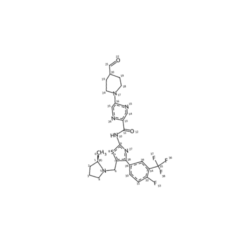 C[C@@H]1CCCN1Cc1sc(NC(=O)c2cnc(N3CCC(C=O)CC3)cn2)nc1-c1ccc(F)c(C(F)(F)F)c1